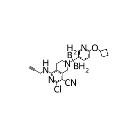 BC(B)(c1ccc(OC2CCC2)nc1)N1CCc2c(NCC#C)nc(Cl)c(C#N)c2C1